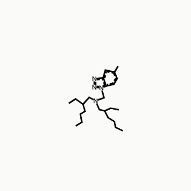 CCCCC(CC)CN(CC(CC)CCCC)Cn1nnc2cc(C)ccc21